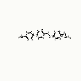 CCCCc1ccc(-c2ccc(CCc3ccc(OC(F)(F)F)nc3)cc2)cc1